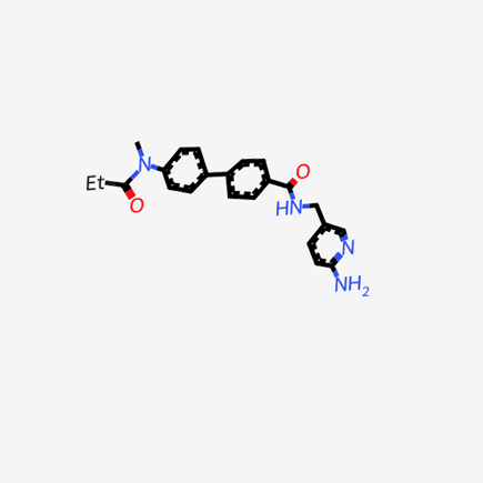 CCC(=O)N(C)c1ccc(-c2ccc(C(=O)NCc3ccc(N)nc3)cc2)cc1